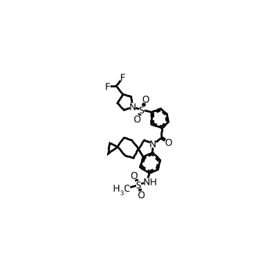 CS(=O)(=O)Nc1ccc2c(c1)C1(CCC3(CC3)CC1)CN2C(=O)c1cccc(S(=O)(=O)N2CCC(C(F)F)C2)c1